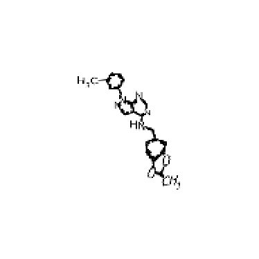 Cc1cccc(-n2ncc3c(NCc4ccc5c(c4)OC(C)O5)ncnc32)c1